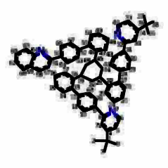 CC(C)(C)c1ccnc(-c2ccc(-c3ccccc3C3CC(c4ccccc4-c4ccc(-c5cc(C(C)(C)C)ccn5)cc4)CC(c4ccccc4-c4ccc(-c5ccc6ccccc6n5)cc4)C3)cc2)c1